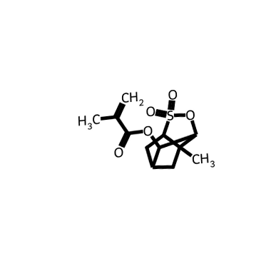 C=C(C)C(=O)OC1C2CC3C(C)(C2)C1OS3(=O)=O